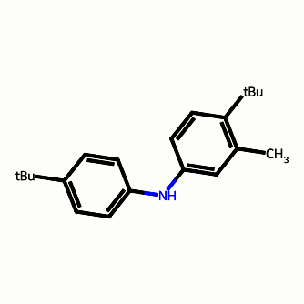 Cc1cc(Nc2ccc(C(C)(C)C)cc2)ccc1C(C)(C)C